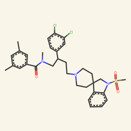 Cc1cc(C)cc(C(=O)N(C)CC(CCN2CCC3(CC2)CN(S(C)(=O)=O)c2ccccc23)c2ccc(Cl)c(Cl)c2)c1